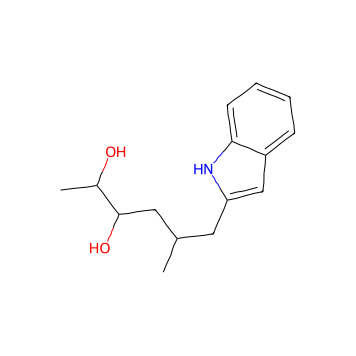 CC(Cc1cc2ccccc2[nH]1)CC(O)C(C)O